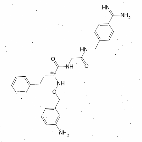 N=C(N)c1ccc(CNC(=O)CNC(=O)[C@@H](CCc2ccccc2)NOCc2cccc(N)c2)cc1